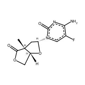 C[C@@]12C[C@H](n3cc(F)c(N)nc3=O)O[C@@H]1COC2=O